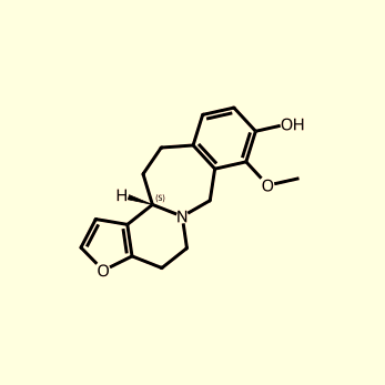 COc1c(O)ccc2c1CN1CCc3occc3[C@@H]1CC2